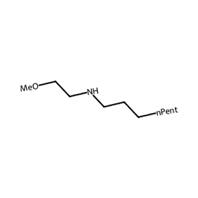 CCCCCCCCNCCOC